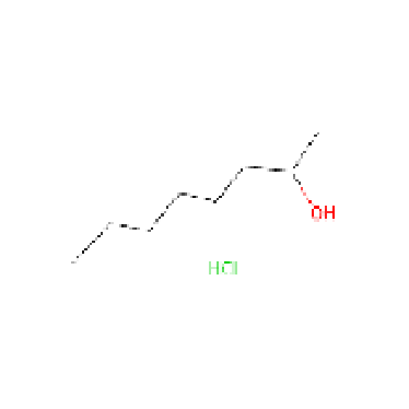 CCCCCCC(C)O.Cl